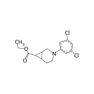 CCOC(=O)C1C2CCN(c3cc(Cl)cc(Cl)c3)CC21